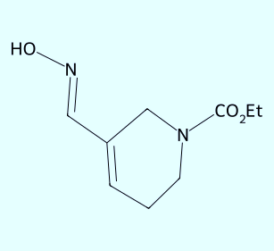 CCOC(=O)N1CCC=C(C=NO)C1